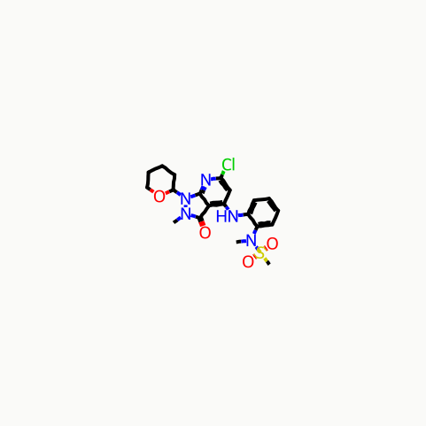 CN(c1ccccc1Nc1cc(Cl)nc2c1c(=O)n(C)n2C1CCCCO1)S(C)(=O)=O